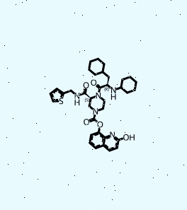 O=C(NCc1cccs1)[C@@H]1CN(C(=O)Oc2cccc3ccc(O)nc23)CCN1C(=O)[C@@H](CC1CCCCC1)NC1CCCCC1